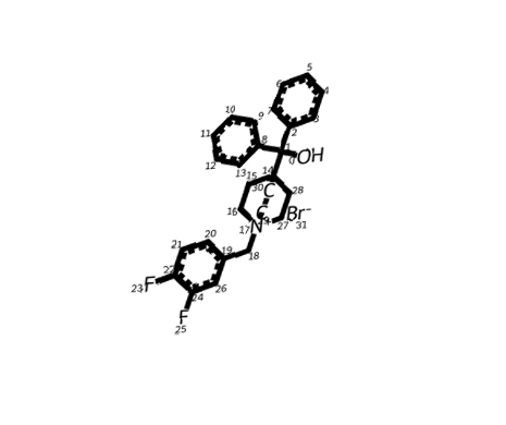 OC(c1ccccc1)(c1ccccc1)C12CC[N+](Cc3ccc(F)c(F)c3)(CC1)CC2.[Br-]